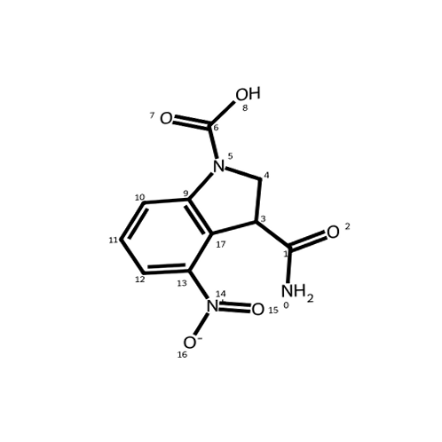 NC(=O)C1CN(C(=O)O)c2cccc([N+](=O)[O-])c21